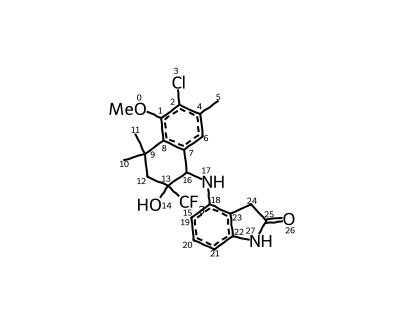 COc1c(Cl)c(C)cc2c1C(C)(C)CC(O)(C(F)(F)F)C2Nc1cccc2c1CC(=O)N2